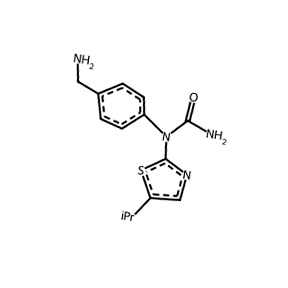 CC(C)c1cnc(N(C(N)=O)c2ccc(CN)cc2)s1